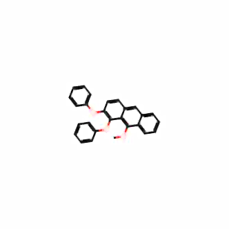 COc1c2ccccc2cc2ccc(Oc3ccccc3)c(Oc3ccccc3)c12